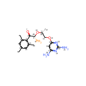 Cc1cc(C)c(C(=O)[C@@H](P)O[C@H](C)COc2cc(N)nc(N)n2)c(C)c1